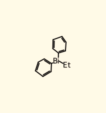 C[CH2][Bi]([c]1ccccc1)[c]1ccccc1